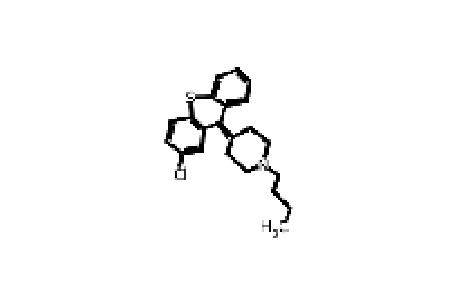 CCCCN1CCC(=C2c3ccccc3Sc3ccc(Cl)cc32)CC1